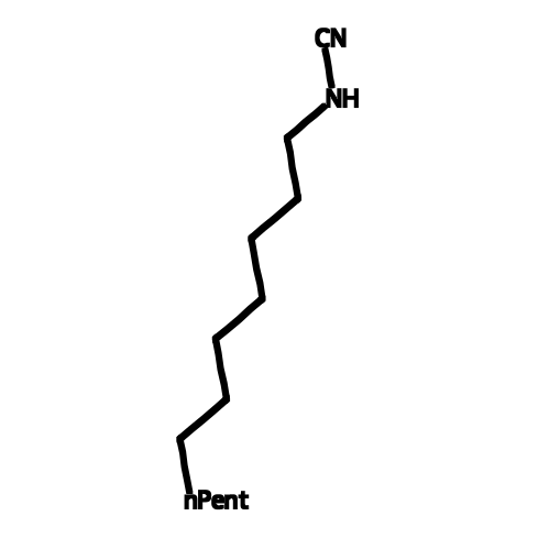 CCCCCCCCCCCCNC#N